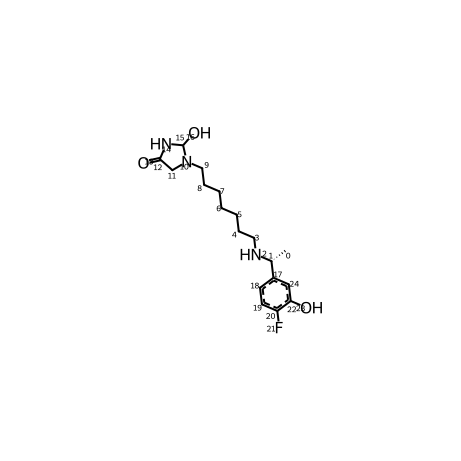 C[C@@H](NCCCCCCCN1CC(=O)NC1O)c1ccc(F)c(O)c1